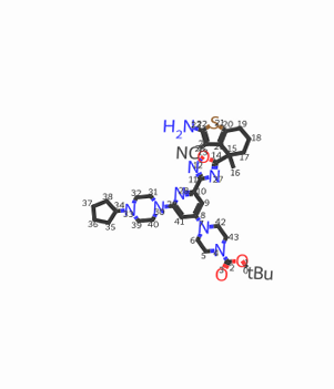 CC(C)(C)OC(=O)N1CCN(c2cc(-c3noc(C4(C)CCCc5sc(N)c(C#N)c54)n3)nc(N3CCN(C4CCCC4)CC3)c2)CC1